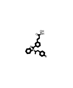 CC(Cc1ccc(F)cc1)n1c(-c2cccc(C=CC(=O)NO)c2)nc2ccccc21